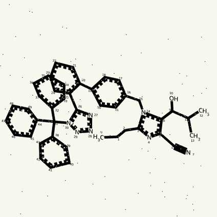 CCCc1nc(C#N)c(C(O)C(C)C)n1Cc1ccc(-c2ccccc2-c2nnnn2C(c2ccccc2)(c2ccccc2)c2ccccc2)cc1